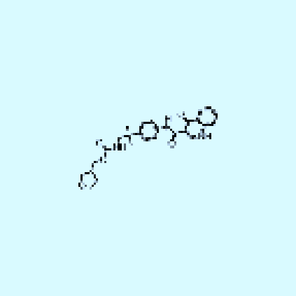 CC(C)(CNC(=O)OCC1CCOC1)c1ccc(NC(=O)c2c[nH]c3ccccc3c2=O)cc1